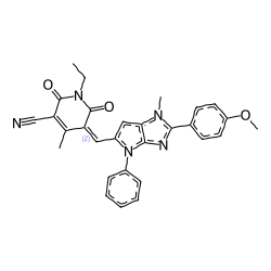 CCN1C(=O)C(C#N)=C(C)/C(=C/c2cc3c(nc(-c4ccc(OC)cc4)n3C)n2-c2ccccc2)C1=O